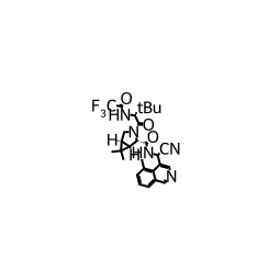 Cc1cccc2cncc(C(C#N)NC(=O)[C@@H]3[C@@H]4[C@H](CN3C(=O)[C@@H](NC(=O)C(F)(F)F)C(C)(C)C)C4(C)C)c12